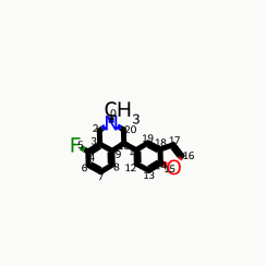 CN1Cc2c(F)cccc2C(c2ccc3occc3c2)C1